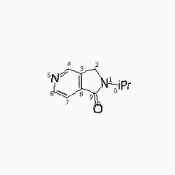 CC(C)N1Cc2cnccc2C1=O